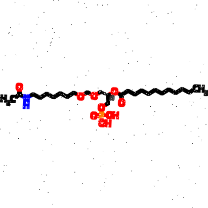 CCCCCCCCCCCC(=O)O[C@@H](COCOCCCCCCCNC(C)=O)COP(=O)(O)O